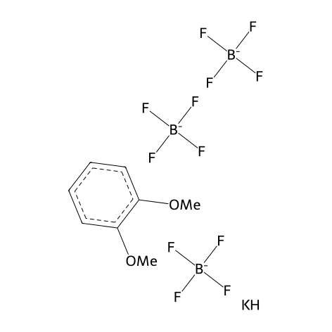 COc1ccccc1OC.F[B-](F)(F)F.F[B-](F)(F)F.F[B-](F)(F)F.[KH]